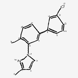 Cc1ccn(-c2cc(-c3cccc(Cl)c3)ccc2C)n1